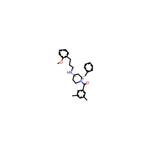 COc1ccccc1CCCN[C@H]1CCN(C(=O)c2cc(C)cc(C)c2)[C@@H](Cc2ccccc2)C1